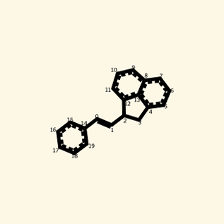 C(=CC1Cc2cccc3cccc1c23)c1ccccc1